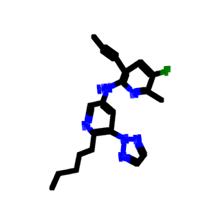 CC#Cc1cc(F)c(C)nc1Nc1cnc(CCCCC)c(-n2nccn2)c1